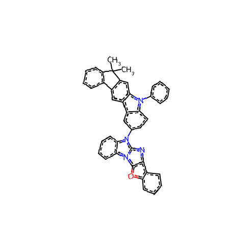 CC1(C)c2ccccc2-c2cc3c4cc(-n5c6ccccc6n6c7oc8ccccc8c7nc56)ccc4n(-c4ccccc4)c3cc21